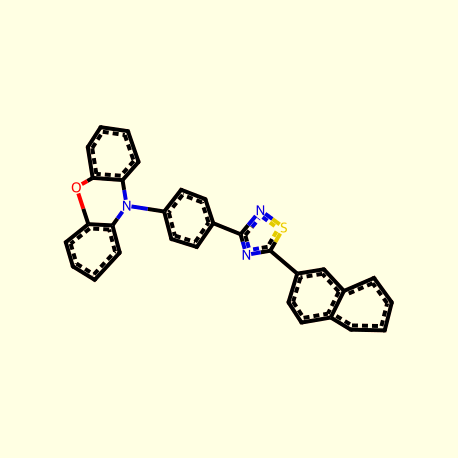 c1ccc2c(c1)Oc1ccccc1N2c1ccc(-c2nsc(-c3ccc4ccccc4c3)n2)cc1